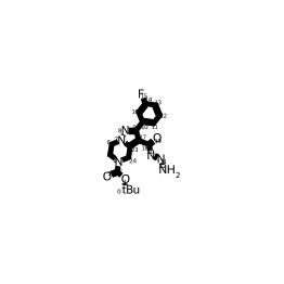 CC(C)(C)OC(=O)N1CCn2nc(-c3cccc(F)c3)c(C(=O)N=NN)c2C1